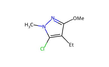 CCc1c(OC)nn(C)c1Cl